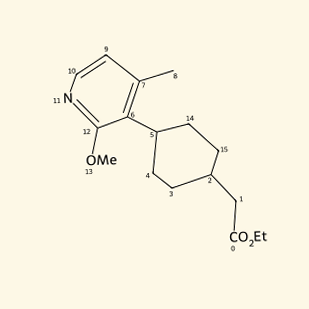 CCOC(=O)CC1CCC(c2c(C)ccnc2OC)CC1